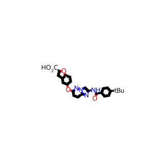 CC(C)(C)c1ccc(C(=O)Nc2cn3nc(Oc4ccc5oc(C(=O)O)cc5c4)ccc3n2)cc1